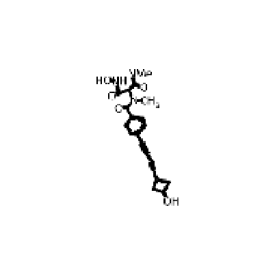 CNC(=O)C(C(=O)NO)N(C)C(=O)c1ccc(C#CC#CC2CC(O)C2)cc1